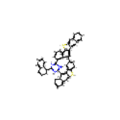 c1ccc(-c2nc(-c3cccc4ccccc34)nc(-c3c4ccccc4cc4sc5ccc(-c6ccc7sc8cc9ccccc9cc8c7c6)cc5c34)n2)cc1